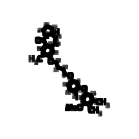 COc1cc(Oc2cc(OCCCCOc3cc4c(cc3C)C(=O)N3CCC[C@H]3C=N4)ccc2I)cc(C)c1C